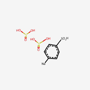 O=S(=O)(O)c1cc[c]([Na])cc1.O=S(O)O.O=S(O)O